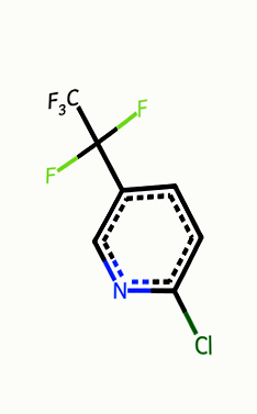 FC(F)(F)C(F)(F)c1ccc(Cl)nc1